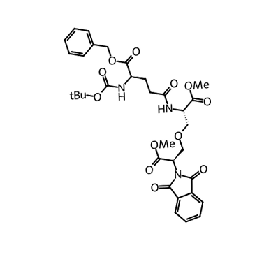 COC(=O)[C@H](COC[C@H](C(=O)OC)N1C(=O)c2ccccc2C1=O)NC(=O)CC[C@@H](NC(=O)OC(C)(C)C)C(=O)OCc1ccccc1